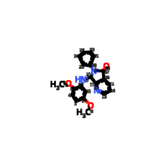 COc1ccc(OC)c(NC2c3ncccc3C(=O)N2c2ccccc2)c1